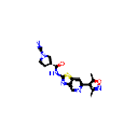 Cc1noc(C)c1-c1cc2sc(NC(=O)[C@H]3CCN(C#N)C3)nc2cn1